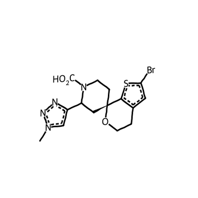 Cn1cc(C2C[C@]3(CCN2C(=O)O)OCCc2cc(Br)sc23)nn1